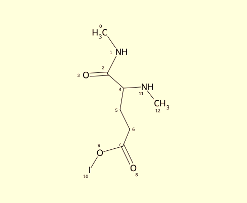 CNC(=O)C(CCC(=O)OI)NC